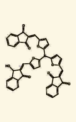 O=C1C(=Cc2ccc(N(c3ccc(C=C4C(=O)c5ccccc5C4=O)o3)c3ccc(/C=C4\C(=O)c5ccccc5C4O)o3)o2)C(=O)c2ccccc21